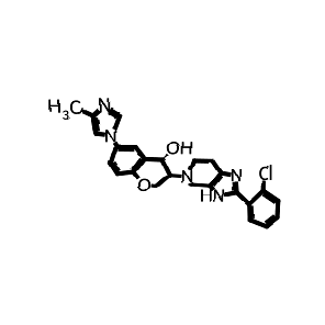 Cc1cn(-c2ccc3c(c2)[C@H](O)C(N2CCc4nc(-c5ccccc5Cl)[nH]c4C2)CO3)cn1